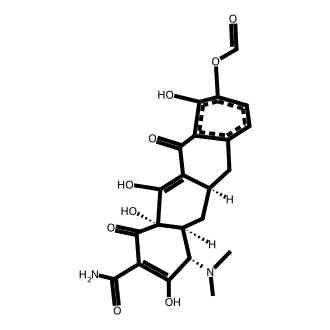 CN(C)[C@@H]1C(O)=C(C(N)=O)C(=O)[C@@]2(O)C(O)=C3C(=O)c4c(ccc(OC=O)c4O)C[C@H]3C[C@@H]12